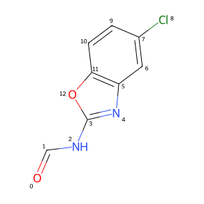 O=CNc1nc2cc(Cl)ccc2o1